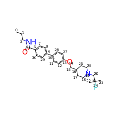 CCCNC(=O)c1ccc(-c2ccc(OCC3CCN(CC(C)(C)F)CC3)cc2)cc1